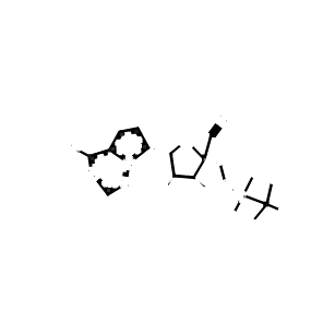 CC(C)(C)[Si](C)(C)OC[C@@]1(C#N)O[C@@H](c2ccc3c(N)ncnn23)[C@H](O)[C@@H]1O